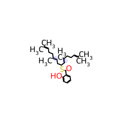 CC(C)=CCC/C(C)=C/CC(/C=C(\C)CCC=C(C)C)SC(=O)c1ccccc1O